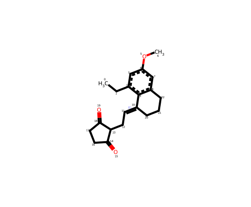 CCc1cc(OC)cc2c1/C(=C/CC1C(=O)CCC1=O)CCC2